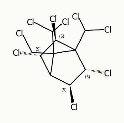 ClCC1(C(Cl)Cl)C2[C@H](Cl)[C@@H](Cl)C1(C(Cl)Cl)[C@H](Cl)[C@H]2Cl